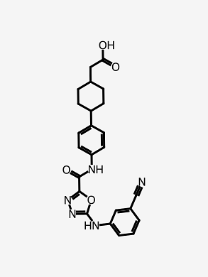 N#Cc1cccc(Nc2nnc(C(=O)Nc3ccc(C4CCC(CC(=O)O)CC4)cc3)o2)c1